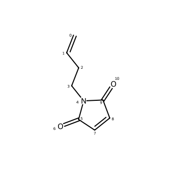 C=CCCN1C(=O)C=CC1=O